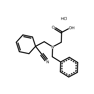 Cl.N#CC1(CN(CC(=O)O)Cc2ccccc2)C=CC=CC1